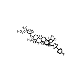 CC(C)C1=C2[C@H]3CCC4[C@@]5(C)CC[C@H](OC(=O)CC(C)(C)C(=O)O)C(C)(C)C5CC[C@@]4(C)[C@]3(C)CC[C@@]2(Nc2nnc(-c3ccc(F)cc3)o2)CC1=O